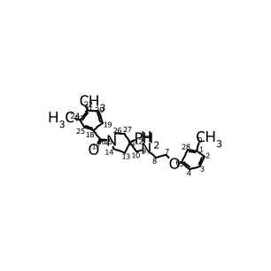 Cc1cccc(OCCNCC2(P)CCN(C(=O)c3ccc(C)c(C)c3)CC2)c1